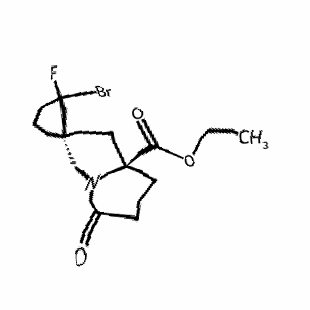 CCOC(=O)[C@@]12CCC(=O)N1C[C@@]1(CC1(F)Br)C2